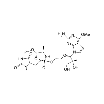 COc1nc(N)nc2c1ncn2[C@H](OCCOP(=O)(N[C@H](C)C(=O)OC(C)C)SCC1C(=O)NC(=O)N1C)[C@](C)(O)CO